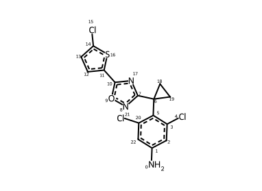 Nc1cc(Cl)c(C2(c3noc(-c4ccc(Cl)s4)n3)CC2)c(Cl)c1